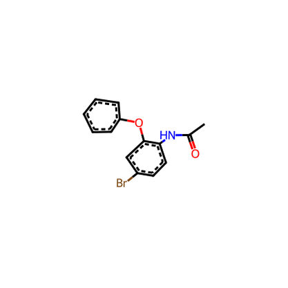 CC(=O)Nc1ccc(Br)cc1Oc1ccccc1